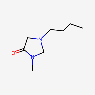 CCCCN1CC(=O)N(C)C1